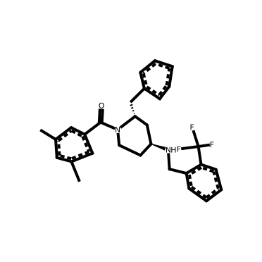 Cc1cc(C)cc(C(=O)N2CC[C@H](NCc3ccccc3C(F)(F)F)C[C@H]2Cc2ccccc2)c1